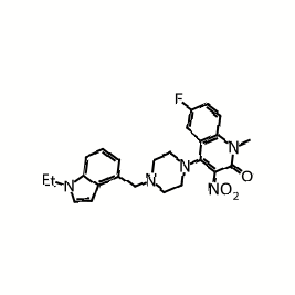 CCn1ccc2c(CN3CCN(c4c([N+](=O)[O-])c(=O)n(C)c5ccc(F)cc45)CC3)cccc21